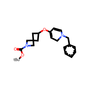 CC(C)(C)OC(=O)N1CC2(CC(OC3=CCN(Cc4ccccc4)C=C3)C2)C1